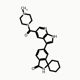 CN1CCN(C(=O)c2cnc3[nH]cc(-c4ccc5c(c4)C4(CCCCC4)NC5=O)c3c2)CC1